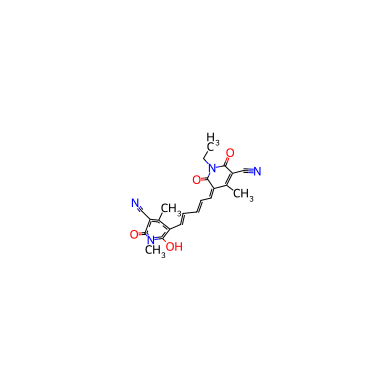 CCN1C(=O)C(C#N)=C(C)/C(=C/C=CC=Cc2c(C)c(C#N)c(=O)n(C)c2O)C1=O